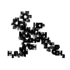 CCc1nnn([C@H]2C[C@@H](n3cnc4c(NCC(c5ccccc5)c5ccccc5)nc(N5CC[C@@H](NC(=O)NCc6ccc(C(=O)OC)cc6)C5)nc43)[C@H](O)[C@@H]2O)n1.Cl